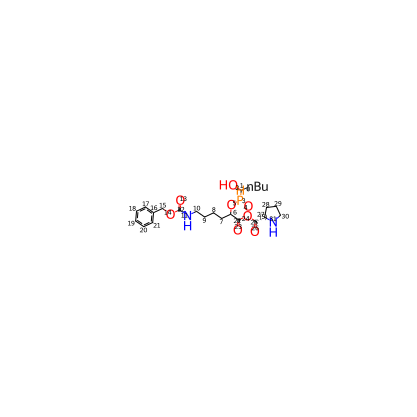 CCCCC(O)[PH](=O)OC(CCCCNC(=O)OCc1ccccc1)C(=O)OC(=O)[C@@H]1CCCN1